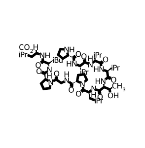 CC[C@H](C)[C@H](NC(=O)[C@@H]1CCCN1C(=O)CNC(=O)[C@@H]1CCCN1C(=O)[C@H](CC(C)C)NC(=O)[C@@H](NC(=O)[C@@H](NC(=O)[C@@H](NC(=O)[C@@H](NC(=O)[C@@H]1CCCN1)C(C)C)C(C)C)C(C)C)[C@@H](C)O)C(=O)N[C@@H](CC(C)C)C(=O)O